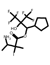 CC(N)C(C)(I)C(=O)OC(C1CCCC1)C(O)(C(F)(F)F)C(F)(F)F